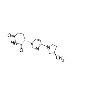 [CH2][C@@H]1CCN(c2ccc([C@H]3CCC(=O)NC3=O)cn2)C1